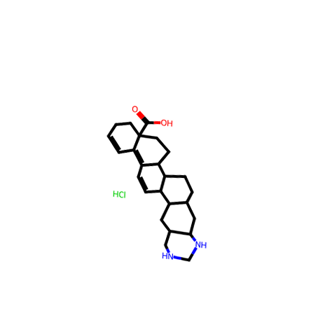 Cl.O=C(O)C12CCC=CC1=C1C=CC3C4CC5CNCNC5CC4CCC3C1CC2